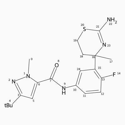 Cn1nc(C(C)(C)C)cc1C(=O)Nc1ccc(F)c(C2(C)CCSC(N)=N2)c1